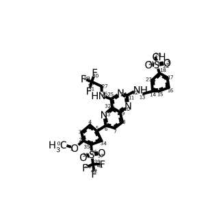 COc1ccc(-c2ccc3nc(NCc4cccc(S(C)(=O)=O)c4)nc(NCC(F)(F)F)c3n2)cc1S(=O)(=O)C(F)(F)F